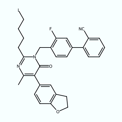 Cc1nc(CCCCI)n(Cc2ccc(-c3ccccc3C#N)cc2F)c(=O)c1-c1ccc2c(c1)CCO2